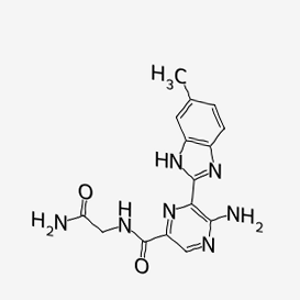 Cc1ccc2nc(-c3nc(C(=O)NCC(N)=O)cnc3N)[nH]c2c1